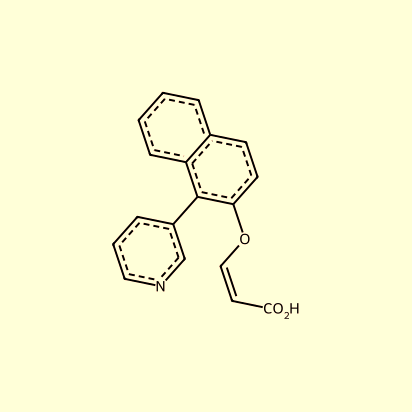 O=C(O)/C=C\Oc1ccc2ccccc2c1-c1cccnc1